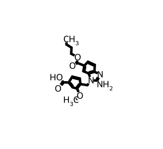 CCCCOC(=O)c1ccc2nc(N)n(Cc3ccc(C(=O)O)cc3OC)c2c1